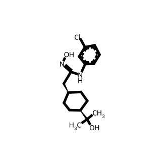 CC(C)(O)[C@H]1CC[C@@H](C/C(=N/O)Nc2cccc(Cl)c2)CC1